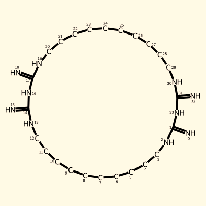 N=C1NCCCCCCCCCCNC(=N)NC(=N)NCCCCCCCCCCNC(=N)N1